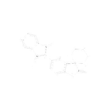 O=C1c2ccccc2C(=O)N1c1ccc2c(c1)C1(OCCCO1)C(=O)N2